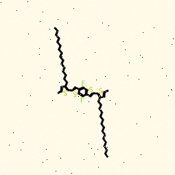 CCCCCCCCCCCCCCCCc1cc(C)sc1-c1cc2c(F)c3sc(-c4sc(C)cc4CCCCCCCCCCCCCCCC)cc3c(F)c2s1